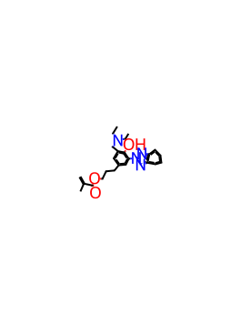 C=C(C)C(=O)OCCCc1cc(CN(CC)CC)c(O)c(-n2nc3ccccc3n2)c1